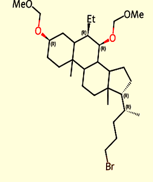 CC[C@@H]1C2C[C@H](OCOC)CCC2(C)C2CCC3(C)C(CC[C@@H]3[C@H](C)CCCBr)C2[C@@H]1OCOC